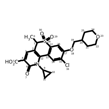 CC1c2cc(C(=O)O)c(=O)n(C3CC3)c2-c2cc(Cl)c(OCC3CCOCC3)cc2S1(=O)=O